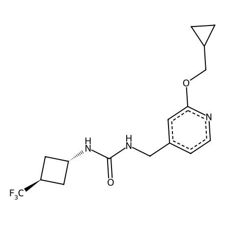 O=C(NCc1ccnc(OCC2CC2)c1)N[C@H]1C[C@H](C(F)(F)F)C1